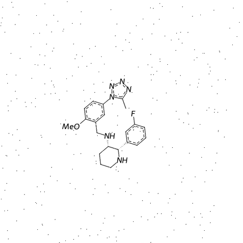 COc1ccc(-n2nnnc2C)cc1CN[C@H]1CCCN[C@H]1c1cccc(F)c1